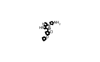 N[C@@H]1CC[C@@H](Nc2ccnc3[nH]cc(C(=O)c4ccc(Oc5ccccc5)cc4Cl)c23)C1